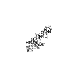 O=C(C[N+]12CCC(CC1)C(OC(=O)[C@@](O)(c1cccs1)C1CCC(F)(F)C1)C2)Nc1ncccn1.[Br-]